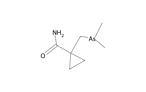 C[As](C)CC1(C(N)=O)CC1